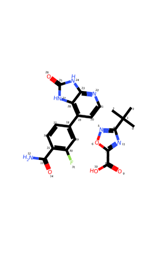 CC(C)(C)c1noc(C(=O)O)n1.NC(=O)c1ccc(-c2ccnc3[nH]c(=O)[nH]c23)cc1F